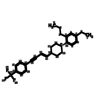 CCCc1cc(CC)ccc1[C@H]1CC[C@H](C=CC#Cc2ccc(C(F)(F)F)cc2)CC1